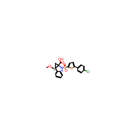 COC[C@@]1(c2ccccc2)C[C@]1(NS(=O)(=O)c1ccc(-c2ccc(Cl)cc2)s1)C(=O)O